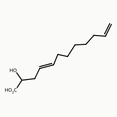 C=CCCCCC/C=C/CC(O)C(=O)O